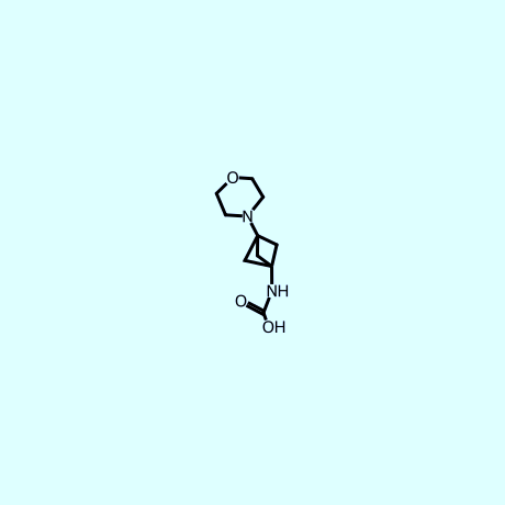 O=C(O)NC12CC(N3CCOCC3)(C1)C2